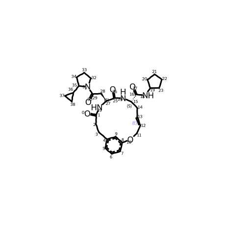 O=C1CCc2cccc(c2)OC/C=C/C[C@@H](C(=O)NC2CCCC2)NC(=O)[C@H](CC(=O)N2CCCC2C2CC2)N1